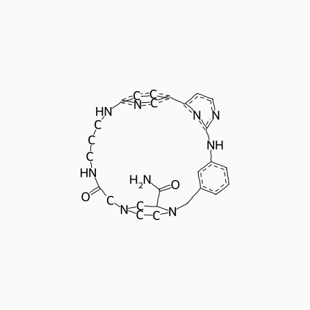 NC(=O)C1CN2CCN1Cc1cccc(c1)Nc1nccc(n1)-c1ccc(nc1)NCCCNC(=O)C2